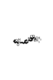 CN(C)C(=O)c1ccc(N2CCC(CCCNC(=O)C3CCCO3)CC2)nc1Cl